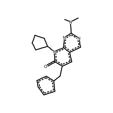 CN(C)c1ncc2cc(Cc3ccccc3)c(=O)n(C3CCCC3)c2n1